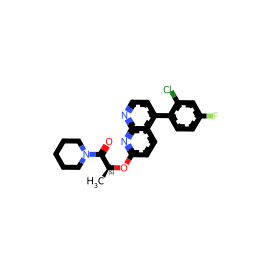 C[C@H](Oc1ccc2c(-c3ccc(F)cc3Cl)ccnc2n1)C(=O)N1CCCCC1